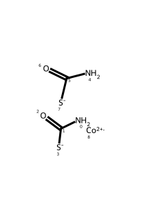 NC(=O)[S-].NC(=O)[S-].[Co+2]